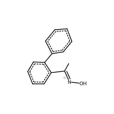 C/C(=N\O)c1ccccc1-c1ccccc1